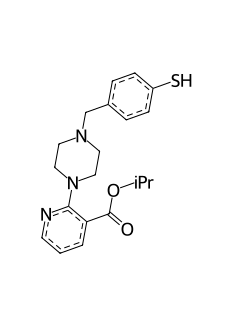 CC(C)OC(=O)c1cccnc1N1CCN(Cc2ccc(S)cc2)CC1